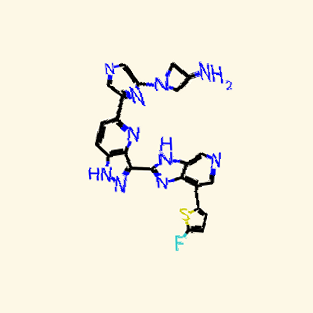 NC1CN(c2cncc(-c3ccc4[nH]nc(-c5nc6c(-c7ccc(F)s7)cncc6[nH]5)c4n3)n2)C1